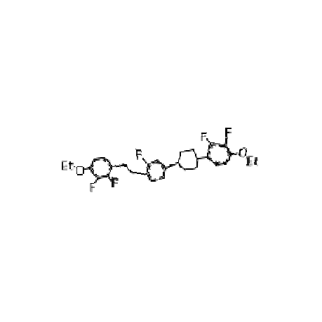 CCOc1ccc(CCc2ccc(C3CCC(c4ccc(OCC)c(F)c4F)CC3)cc2F)c(F)c1F